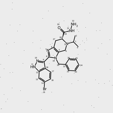 CC(C)N1Cc2c(nc(-c3n[nH]c4cc(Br)ccc34)n2Cc2ccccc2)C[C@H]1C(=O)NN